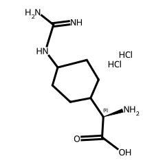 Cl.Cl.N=C(N)NC1CCC([C@@H](N)C(=O)O)CC1